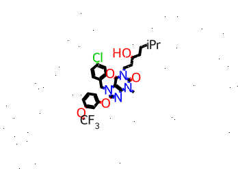 CC(C)CCC(O)CCn1c(=O)c2c(nc(Oc3cccc(OC(F)(F)F)c3)n2Cc2ccc(Cl)cc2)n(C)c1=O